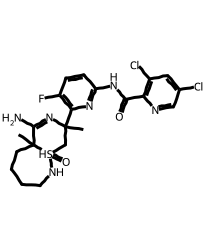 CC1(c2nc(NC(=O)c3ncc(Cl)cc3Cl)ccc2F)C[SH]2(=O)NCCCCC2(C)C(N)=N1